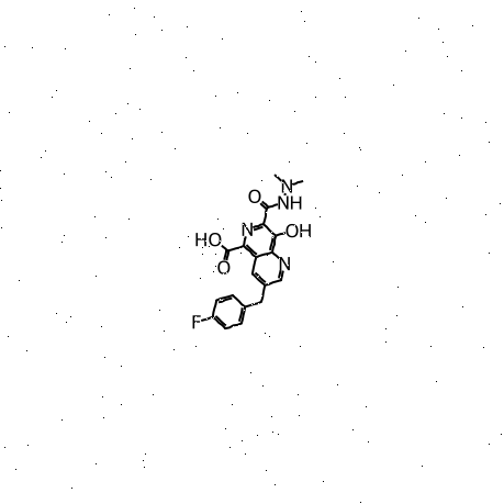 CN(C)NC(=O)c1nc(C(=O)O)c2cc(Cc3ccc(F)cc3)cnc2c1O